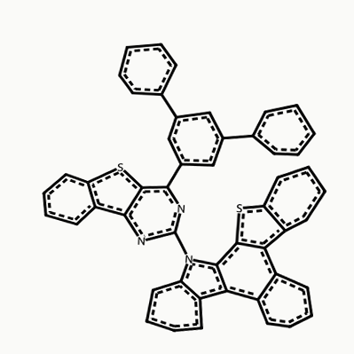 c1ccc(-c2cc(-c3ccccc3)cc(-c3nc(-n4c5ccccc5c5c6ccccc6c6c7ccccc7sc6c54)nc4c3sc3ccccc34)c2)cc1